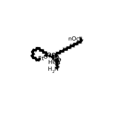 CC/C=C\C/C=C\C/C=C\C/C=C\CCCCC(=O)OC[C@H](COP(=O)(O)OCCN)OC(=O)CCCCCCCCCCCCC/C=C\CCCCCCCC